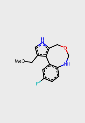 COCc1c[nH]c2c1-c1cc(F)ccc1NCOC2